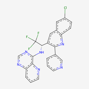 FC(F)(F)[C@@H](Nc1ncnc2cccnc12)c1cc2cc(Cl)ccc2nc1-c1cccnc1